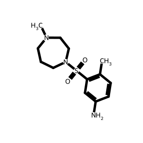 Cc1ccc(N)cc1S(=O)(=O)N1CCCN(C)CC1